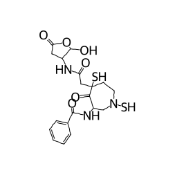 O=C(CC1(S)CCN(S)CC(NC(=O)c2ccccc2)C1=O)NC1CC(=O)OC1O